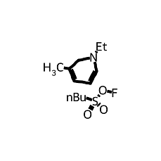 CCCCS(=O)(=O)OF.CCN1C=CC=C(C)C1